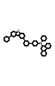 c1ccc(-c2ccc3sc4ccc(-c5cccc(-c6ccc(N(c7ccccc7)c7cc8ccccc8c8ccccc78)cc6)c5)cc4c3c2)cc1